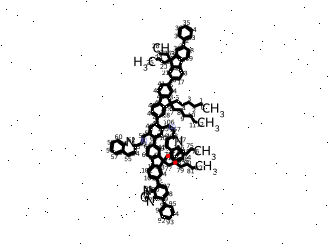 CCCCCCC1(CCCCCC)c2cc(-c3ccc4c(c3)C(CCC)(CCC)c3cc(-c5ccccc5)ccc3-4)ccc2-c2ccc(-c3cc(/C=C/c4ccc5ccccc5n4)c(-c4ccc5c(c4)C(CCCCCC)(CCCCCC)c4cc(-c6ccc(-c7ccccc7)c7nonc67)ccc4-5)cc3/C=C\c3ccc4ccccc4n3)cc21